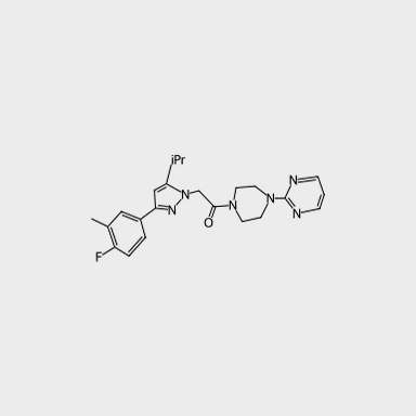 Cc1cc(-c2cc(C(C)C)n(CC(=O)N3CCN(c4ncccn4)CC3)n2)ccc1F